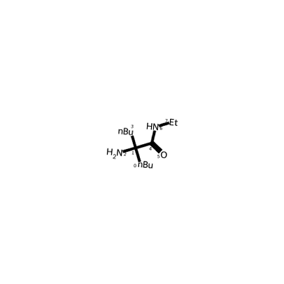 CCCCC(N)(CCCC)C(=O)NCC